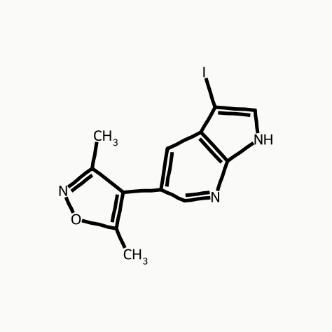 Cc1noc(C)c1-c1cnc2[nH]cc(I)c2c1